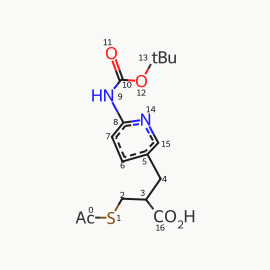 CC(=O)SCC(Cc1ccc(NC(=O)OC(C)(C)C)nc1)C(=O)O